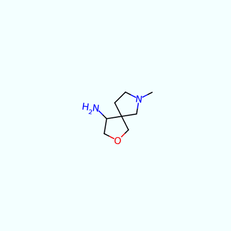 CN1CCC2(COCC2N)C1